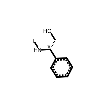 OC[C@@H](NI)c1ccccc1